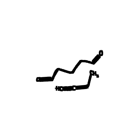 O=CCCCC=O.[CH]=C=CC